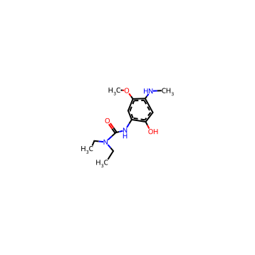 CCN(CC)C(=O)Nc1cc(OC)c(NC)cc1O